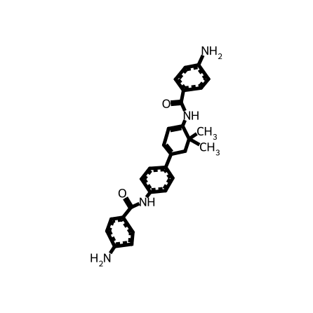 CC1(C)CC(c2ccc(NC(=O)c3ccc(N)cc3)cc2)=CC=C1NC(=O)c1ccc(N)cc1